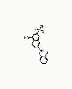 O=S(=O)(O)c1cc(O)c2ccc(NCc3ccccc3I)cc2c1